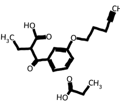 C#CCCCOc1cccc(C(=O)C(CC)C(=O)O)c1.CCC(=O)O